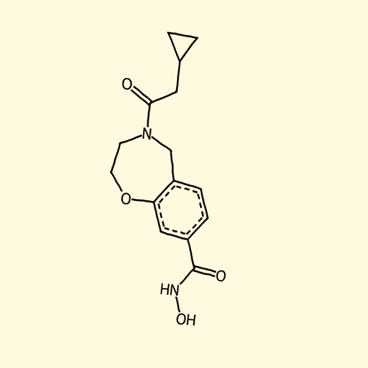 O=C(NO)c1ccc2c(c1)OCCN(C(=O)CC1CC1)C2